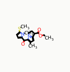 CCOC(=O)C1CCn2c1cc(C)c2C(=O)c1ccc(SC)n1C